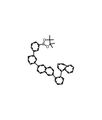 CC1(C)OB(c2cccc(-c3cccc(-c4ccc5cc(-c6ccccc6-c6cccc7ccccc67)ccc5c4)c3)c2)OC1(C)C